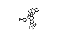 CC(F)(c1ccc2c(c1)CC[C@H]1N(C3CCN(Cc4ccccc4)C3=O)CC[C@@]21Cc1ccc(F)cc1)C(F)(F)F